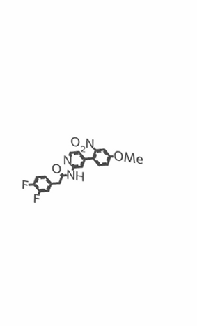 COc1ccc(-c2ccnc(NC(=O)Cc3ccc(F)c(F)c3)c2)c([N+](=O)[O-])c1